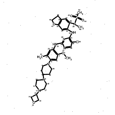 COc1cc(N2CCC(N3CCN(C4COC4)CC3)CC2)c(C)cc1Nc1ncc(Cl)c(Nc2cc3c(cc2N(C)S(C)(=O)=O)CCO3)n1